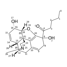 CCCCC(=O)C1(O)CC=C2C[C@@H]3[C@@H]4C=C[C@H](O)[C@@H]5OC1=C2[C@]45CCN3C